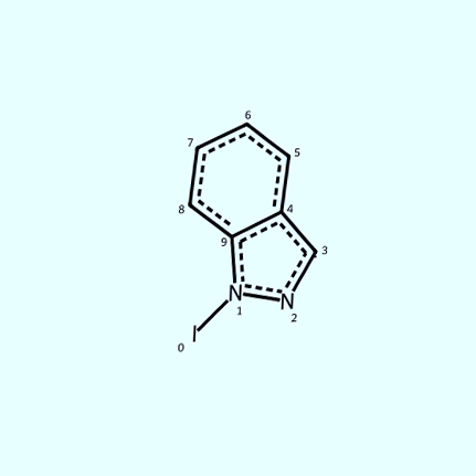 In1n[c]c2ccccc21